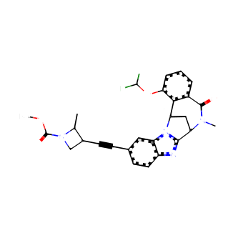 CC1C(C#Cc2ccc3nc4n(c3c2)[C@@H]2CC4N(C)C(=O)c3cccc(OC(F)F)c32)CN1C(=O)OC(C)(C)C